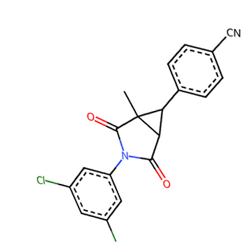 CC12C(=O)N(c3cc(Cl)cc(Cl)c3)C(=O)C1C2c1ccc(C#N)cc1